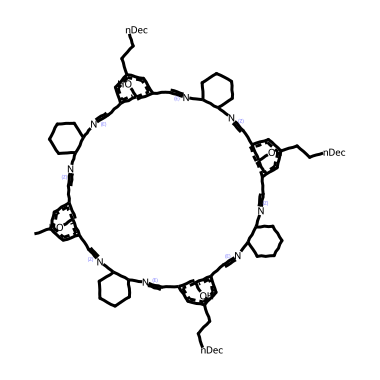 CCCCCCCCCCCCc1cc2c(O)c(c1)/C=N\C1CCCCC1/N=C/c1cc(CCCCCCCCCCCC)cc(c1O)/C=N/C1CCCCC1/N=C\c1cc(C)cc(c1O)/C=N\C1CCCCC1/N=C/c1cc(CCCCCCCCCCCC)cc(c1O)/C=N/C1CCCCC1/N=C\2